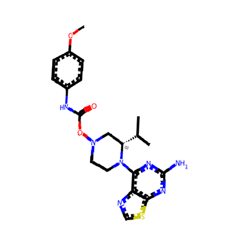 COc1ccc(NC(=O)ON2CCN(c3nc(N)nc4scnc34)[C@@H](C(C)C)C2)cc1